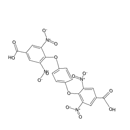 O=C(O)c1cc([N+](=O)[O-])c(Oc2ccc(Oc3c([N+](=O)[O-])cc(C(=O)O)cc3[N+](=O)[O-])cc2)c([N+](=O)[O-])c1